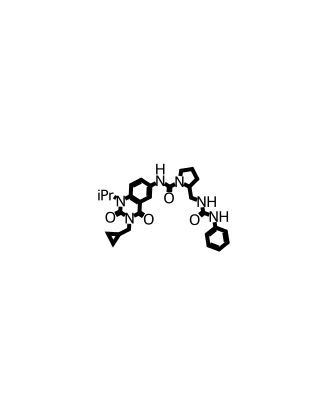 CC(C)n1c(=O)n(CC2CC2)c(=O)c2cc(NC(=O)N3CCCC3CNC(=O)Nc3ccccc3)ccc21